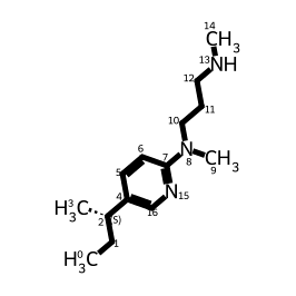 CC[C@H](C)c1ccc(N(C)CCCNC)nc1